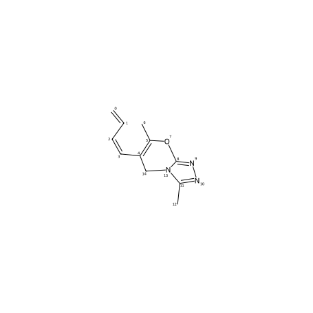 C=C/C=C\C1=C(C)Oc2nnc(C)n2C1